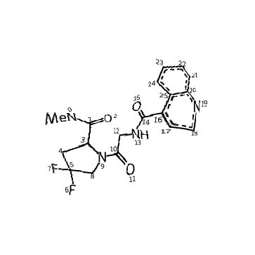 CNC(=O)C1CC(F)(F)CN1C(=O)CNC(=O)c1ccnc2ccccc12